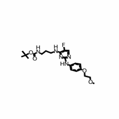 COCCOc1ccc(Nc2ncc(F)c(NCCCNC(=O)OC(C)(C)C)n2)cc1